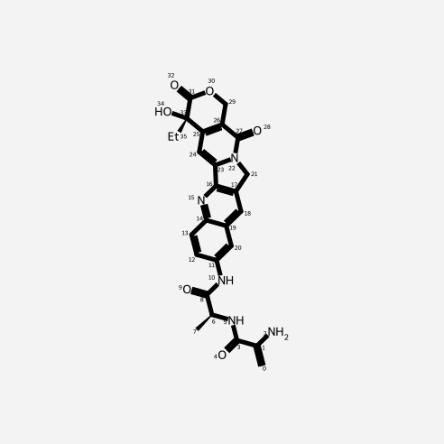 C=C(N)C(=O)N[C@@H](C)C(=O)Nc1ccc2nc3c(cc2c1)Cn1c-3cc2c(c1=O)COC(=O)[C@]2(O)CC